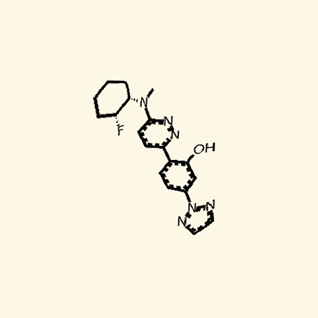 CN(c1ccc(-c2ccc(-n3nccn3)cc2O)nn1)[C@H]1CCCC[C@H]1F